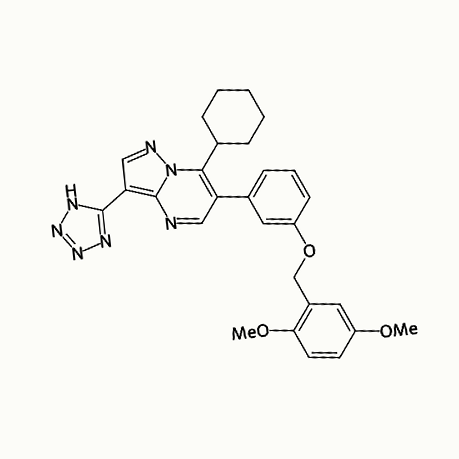 COc1ccc(OC)c(COc2cccc(-c3cnc4c(-c5nnn[nH]5)cnn4c3C3CCCCC3)c2)c1